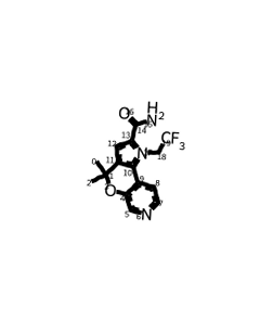 CC1(C)Oc2cnccc2-c2c1cc(C(N)=O)n2CC(F)(F)F